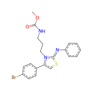 COC(=O)NCCCn1c(-c2ccc(Br)cc2)csc1=Nc1ccccc1